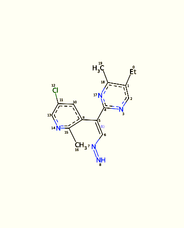 CCc1cnc(/C(=C/N=N)c2cc(Cl)cnc2C)nc1C